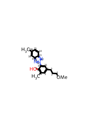 COCCCc1cc(C)c(O)c(-n2nc3ccc(C)cc3n2)c1